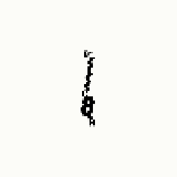 N#Cc1ccc2cc(OCCCCCCCCCBr)ccc2c1